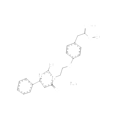 CCOC(Cc1ccc(OCCn2c(CC)nc(-c3ccccc3)cc2=O)cc1)C(=O)[O-].[Na+]